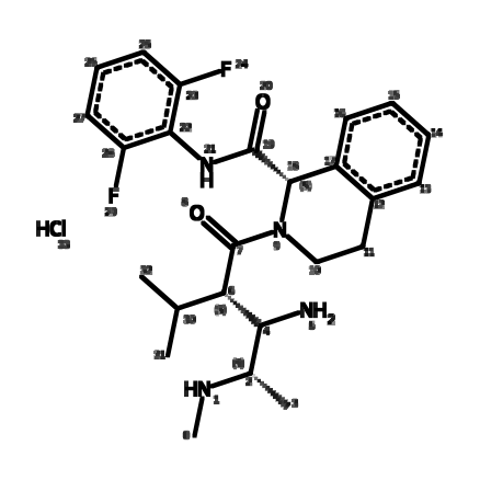 CN[C@@H](C)C(N)[C@@H](C(=O)N1CCc2ccccc2[C@H]1C(=O)Nc1c(F)cccc1F)C(C)C.Cl